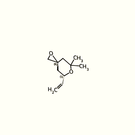 C=C[C@@H]1C[C@]2(CO2)CC(C)(C)O1